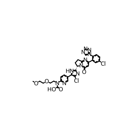 COCCOCCN(C(=O)O)c1ccc(-c2[nH]c([C@@H]3CCc4nc(-c5cc(Cl)ccc5-n5cnnn5)cc(=O)n43)nc2Cl)cn1